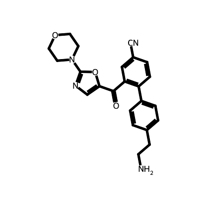 N#Cc1ccc(-c2ccc(CCN)cc2)c(C(=O)c2cnc(N3CCOCC3)o2)c1